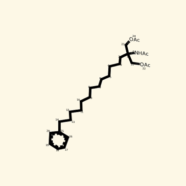 CC(=O)NC(CCCCCCCCCCCCCc1ccccc1)(COC(C)=O)COC(C)=O